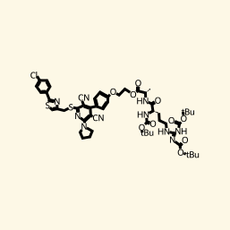 C[C@H](NC(=O)[C@H](CCCN/C(=N/C(=O)OC(C)(C)C)NC(=O)OC(C)(C)C)NC(=O)OC(C)(C)C)C(=O)OCCOc1ccc(-c2c(C#N)c(SCc3csc(-c4ccc(Cl)cc4)n3)nc(N3CCCC3)c2C#N)cc1